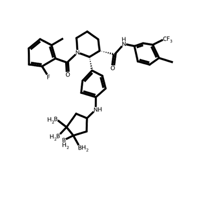 BC1(B)CC(Nc2ccc([C@H]3[C@@H](C(=O)Nc4ccc(C)c(C(F)(F)F)c4)CCCN3C(=O)c3c(C)cccc3F)cc2)CC1(B)B